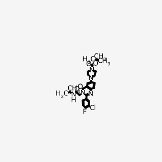 CC(C)NC(=O)Cn1c(-c2ccc(F)c(Cl)c2)nc2ccc(N3CCN(C(=O)OC(C)(C)C)CC3)cc2c1=O